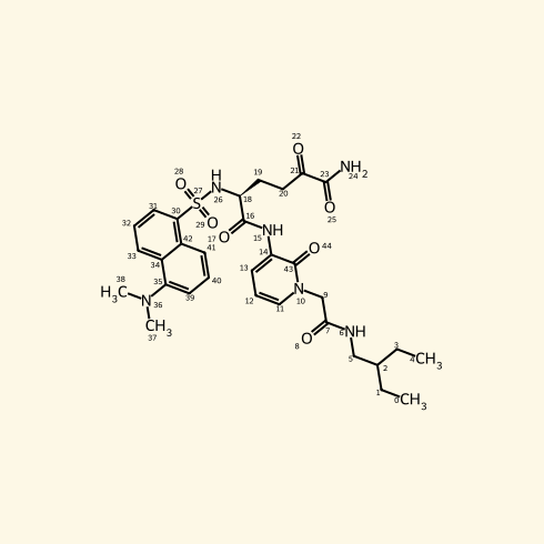 CCC(CC)CNC(=O)Cn1cccc(NC(=O)[C@H](CCC(=O)C(N)=O)NS(=O)(=O)c2cccc3c(N(C)C)cccc23)c1=O